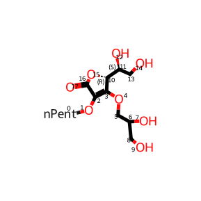 CCCCCOC1=C(OCC(O)CO)[C@@H]([C@@H](O)CO)OC1=O